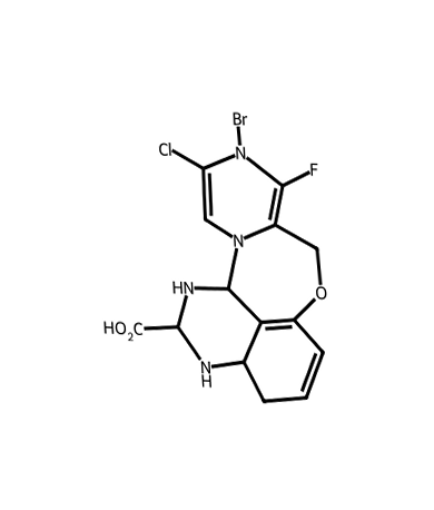 O=C(O)C1NC2CC=CC3=C2C(N1)N1C=C(Cl)N(Br)C(F)=C1CO3